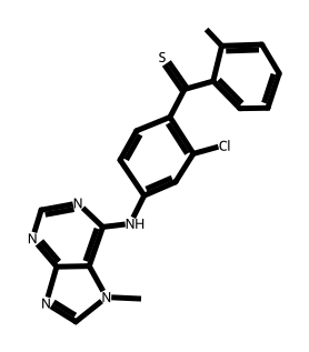 Cc1ccccc1C(=S)c1ccc(Nc2ncnc3ncn(C)c23)cc1Cl